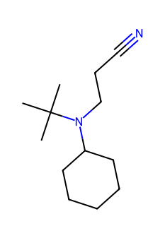 CC(C)(C)N(CCC#N)C1CCCCC1